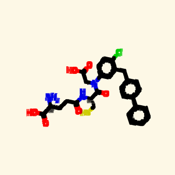 N[C@@H](CCC(=O)N[C@@H](CS)C(=O)N(CC(=O)O)c1ccc(Cl)c(Cc2ccc(-c3ccccc3)cc2)c1)C(=O)O